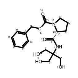 O=C(NC(CO)(CO)CO)[C@H]1CCCN1C(=O)OCc1ccccc1